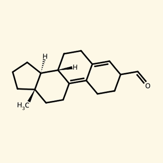 C[C@@]12CCC[C@H]1[C@@H]1CCC3=CC(C=O)CCC3=C1CC2